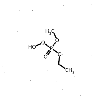 CCOP(=O)(OC)OO